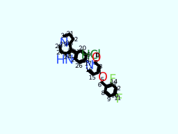 Cl.O=c1cc(OCc2ccc(F)cc2F)ccn1-c1ccc2c3c([nH]c2c1)CCN1CCCC31